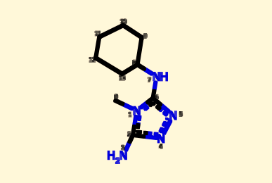 Cn1c(N)nnc1NC1CCCCC1